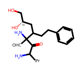 CC(C)C(N)C(=O)C(N)([C]=O)C(CCc1ccccc1)C[C@H](O)CO